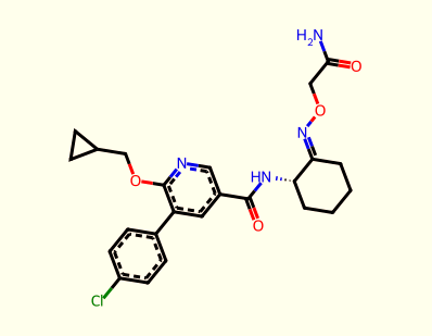 NC(=O)CO/N=C1\CCCC[C@@H]1NC(=O)c1cnc(OCC2CC2)c(-c2ccc(Cl)cc2)c1